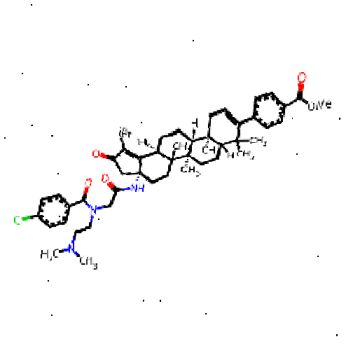 COC(=O)c1ccc(C2=CC[C@]3(C)[C@H]4CC[C@@H]5C6=C(C(C)C)C(=O)C[C@]6(NC(=O)CN(CCN(C)C)C(=O)c6ccc(Cl)cc6)CC[C@@]5(C)[C@]4(C)CC[C@H]3C2(C)C)cc1